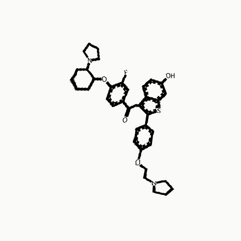 O=C(c1ccc(OC2CCCCC2N2CCCC2)c(F)c1)c1c(-c2ccc(OCCN3CCCC3)cc2)sc2cc(O)ccc12